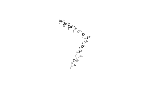 [Cu+2].[Cu+2].[In+3].[In+3].[S-2].[S-2].[S-2].[S-2].[S-2].[S-2].[S-2].[Zn+2].[Zn+2]